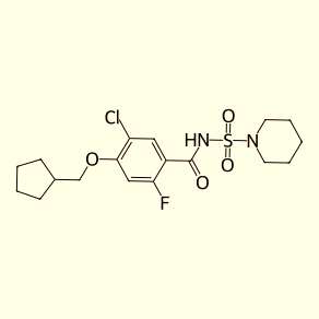 O=C(NS(=O)(=O)N1CCCCC1)c1cc(Cl)c(OCC2CCCC2)cc1F